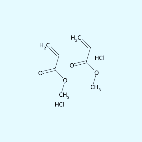 C=CC(=O)OC.C=CC(=O)OC.Cl.Cl